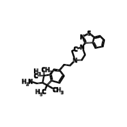 CC1(C)c2ccc(CCN3CCN(c4nsc5ccccc45)CC3)cc2C(C)(C)C1CN